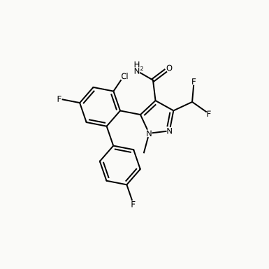 Cn1nc(C(F)F)c(C(N)=O)c1-c1c(Cl)cc(F)cc1-c1ccc(F)cc1